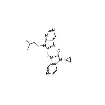 CC(C)CCn1c(Cn2c(=O)n(C3CC3)c3ccncc32)nc2cncnc21